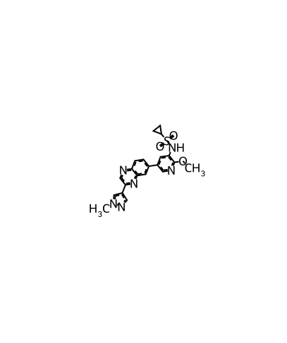 COc1ncc(-c2ccc3ncc(-c4cnn(C)c4)nc3c2)cc1NS(=O)(=O)C1CC1